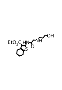 CCOC(=O)c1c(NC(=O)CNCCCO)sc2c1CCCC2